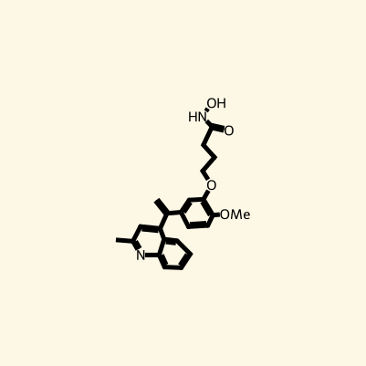 C=C(c1ccc(OC)c(OCCCC(=O)NO)c1)c1cc(C)nc2ccccc12